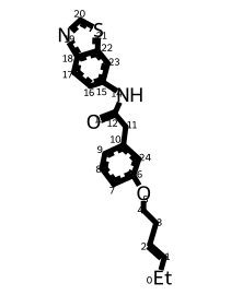 CCC=CCCOc1cccc(CC(=O)Nc2ccc3ncsc3c2)c1